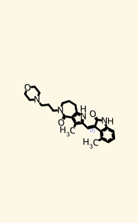 Cc1cccc2c1/C(=C/c1[nH]c3c(c1C)C(=O)N(CCCN1CCOCC1)CCC3)C(=O)N2